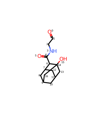 O=[C]CNC(=O)C1C2CC3CC(C2)CC1(O)C3